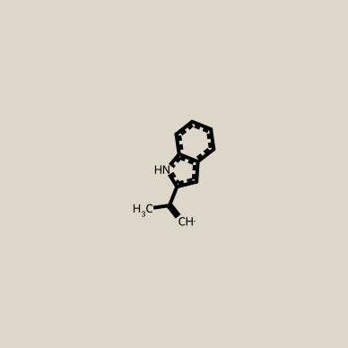 [CH]=C(C)c1cc2ccccc2[nH]1